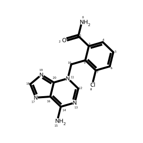 NC(=O)c1cccc(Cl)c1Cn1cnc(N)c2ncnc1-2